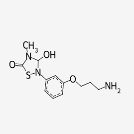 CN1C(=O)SN(c2cccc(OCCCN)c2)C1O